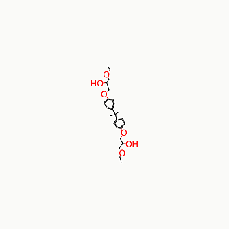 CCOCC(O)COc1ccc(C(C)(C)c2ccc(OCC(O)COCC)cc2)cc1